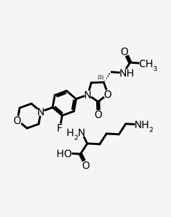 CC(=O)NC[C@H]1CN(c2ccc(N3CCOCC3)c(F)c2)C(=O)O1.NCCCCC(N)C(=O)O